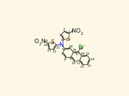 O=[N+]([O-])c1ccc(N(c2ccc3cc4ccccc4c(Br)c3c2)c2ccc([N+](=O)[O-])s2)s1